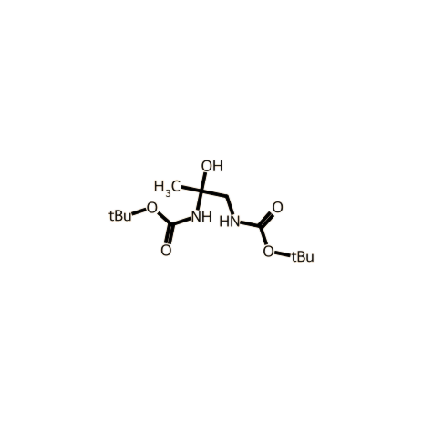 CC(O)(CNC(=O)OC(C)(C)C)NC(=O)OC(C)(C)C